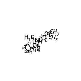 CCN[C@@H](Cc1ccc(OC(C)C)cc1)C(=O)OCc1ccccc1